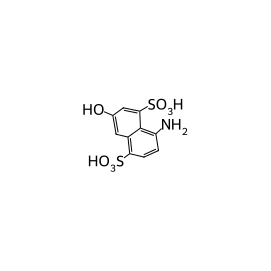 Nc1ccc(S(=O)(=O)O)c2cc(O)cc(S(=O)(=O)O)c12